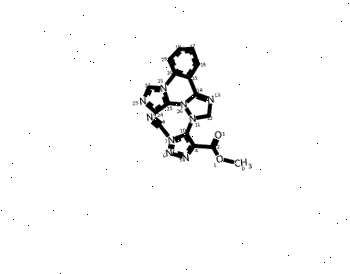 COC(=O)c1nnn(C#N)c1N1CN=C2c3ccccc3-n3cncc3N21